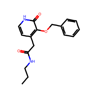 CCCNC(=O)Cc1cc[nH]c(=O)c1OCc1ccccc1